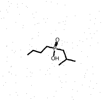 CCCCP(=O)(O)CC(C)C